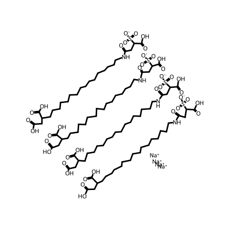 O=C(O)CC(CCCCCCCCCCCCCCCCNC(=O)CC(C(=O)O)S(=O)(=O)[O-])C(=O)O.O=C(O)CC(CCCCCCCCCCCCCCCCNC(=O)CC(C(=O)O)S(=O)(=O)[O-])C(=O)O.O=C(O)CC(CCCCCCCCCCCCCCCCNC(=O)CC(C(=O)O)S(=O)(=O)[O-])C(=O)O.O=C(O)CC(CCCCCCCCCCCCCCCCNC(=O)CC(C(=O)O)S(=O)(=O)[O-])C(=O)O.[Na+].[Na+].[Na+].[Na+]